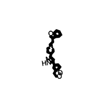 c1ccc2c(CCN3CCC(c4cc(-c5ccc6c(c5)CCOO6)[nH]n4)CC3)coc2c1